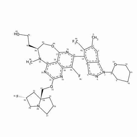 Cc1cc2c(cnn2C2CCCCO2)c(-c2nc3c4c(nc(OC[C@@]56CCCN5C[C@H](F)C6)nc4c2F)N(C)[C@@H](CCO)CO3)c1C(F)(F)F